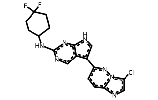 FC1(F)CCC(Nc2ncc3c(-c4ccc5ncc(Cl)n5n4)c[nH]c3n2)CC1